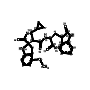 COc1cccc2c1C[C@@](C(N)=O)(C(CC1CC1)C(=O)N[C@@H](CC1C(=O)Nc3ccccc31)C(N)=O)N2